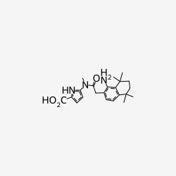 CN(C(=O)Cc1ccc2c(c1N)C(C)(C)CCC2(C)C)c1ccc(C(=O)O)[nH]1